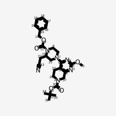 COc1nc2c(c(N3CCN(C(=O)OCc4ccccc4)C(CC#N)C3)n1)CCN(C(=O)OC(C)(C)C)C2